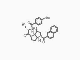 CC(C)C[C@H](NC(=O)c1ccc(C(C)(C)C)cc1)C(=O)N1CC[C@@H]2[C@H]1C(=O)CN2C(=O)c1ccc2ccccc2c1